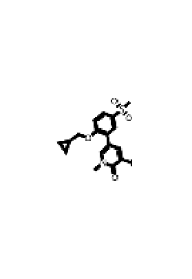 Cn1cc(-c2cc(S(C)(=O)=O)ccc2OCC2CC2)cc(I)c1=O